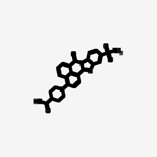 NS(=O)(=O)C1=CC2N=c3c4ccc(N5CCC(C(=O)O)CC5)c5cccc(c(=O)n3C2C=C1)c54